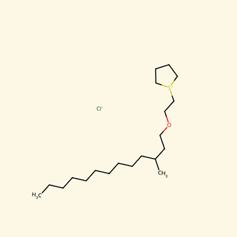 CCCCCCCCCCC(C)CCOCC[S+]1CCCC1.[Cl-]